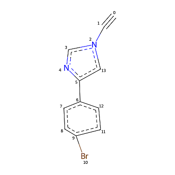 C#Cn1cnc(-c2ccc(Br)cc2)c1